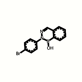 OB1c2ccccc2C=NN1c1ccc(Br)cc1